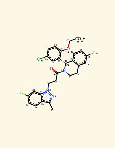 Cc1nn(CCC(=O)N2CCc3cc(F)ccc3[C@H]2c2cc(Cl)ccc2OCC(=O)O)c2cc(F)ccc12